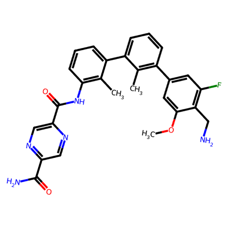 COc1cc(-c2cccc(-c3cccc(NC(=O)c4cnc(C(N)=O)cn4)c3C)c2C)cc(F)c1CN